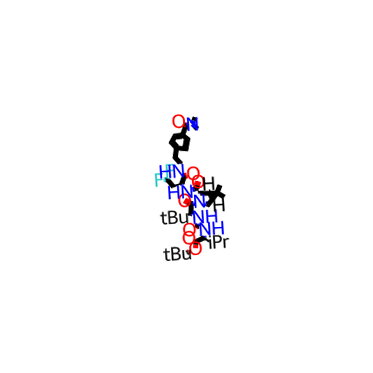 CC(C)[C@H](NC(=O)N[C@H](C(=O)N1C[C@H]2[C@@H]([C@H]1C(=O)N[C@@H](CC(F)F)C(=O)NCCc1ccc(C(=O)N(C)C)cc1)C2(C)C)C(C)(C)C)C(=O)OC(C)(C)C